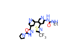 CCNC(=O)Nc1cc(-c2nc(C(F)(F)F)cs2)c(-c2cncc(-c3nnc(N4CCCC4)o3)c2)cn1